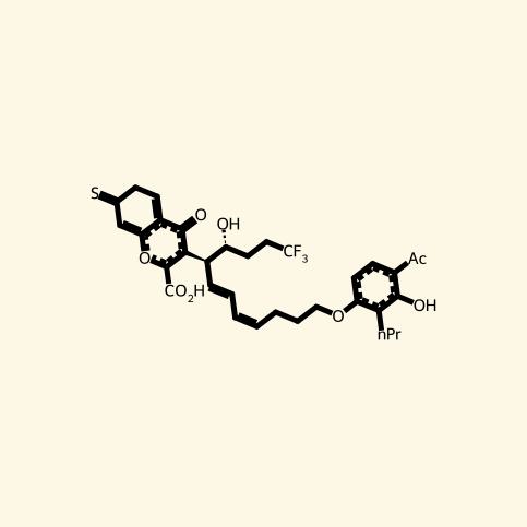 CCCc1c(OCCC/C=C\C=C\[C@@H](c2c(C(=O)O)oc3c(c2=O)=CCC(=S)C=3)[C@H](O)CCC(F)(F)F)ccc(C(C)=O)c1O